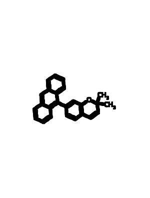 CC1(C)C=Cc2ccc(-c3c4ccccc4cc4ccccc34)cc2O1